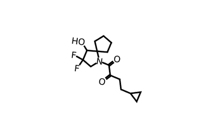 O=C(CCC1CC1)C(=O)N1CC(F)(F)C(O)C12CCCC2